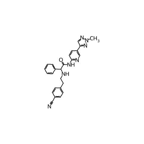 Cn1ncc(-c2ccc(NC(=O)C(NCCc3ccc(C#N)cc3)c3ccccc3)nc2)n1